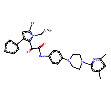 CCc1cc(-c2ccccc2)c(C(=O)C(=O)Nc2ccc(N3CCN(c4cc(C)cc(C)n4)CC3)cc2)n1COC